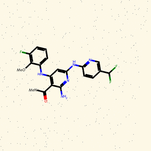 CNC(=O)c1c(Nc2cccc(F)c2OC)cc(Nc2ccc(C(F)F)cn2)nc1N